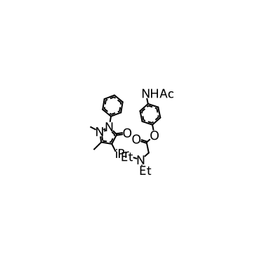 CCN(CC)CC(=O)Oc1ccc(NC(C)=O)cc1.Cc1c(C(C)C)c(=O)n(-c2ccccc2)n1C